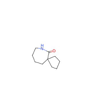 O=C1NCCCCC12CCCC2